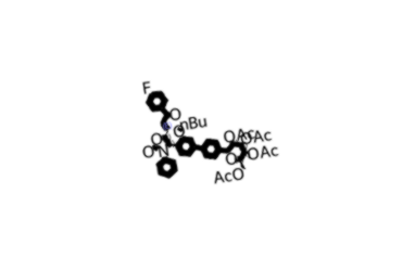 CCCCOc1cc(-c2ccc(C3O[C@H](COC(C)=O)[C@@H](OC(C)=O)[C@H](OC(C)=O)[C@H]3OC(C)=O)cc2)ccc1[C@@H]1[C@@H](/C=C/C(=O)c2ccc(F)cc2)OC(=O)N1c1ccccc1